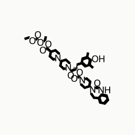 CCOC(=O)OC(C)OC(=O)C1CCN(C2CCN(C(=O)[C@@H](Cc3cc(C)c(O)c(C)c3)OC(=O)N3CCC(N4CCc5ccccc5NC4=O)CC3)CC2)CC1